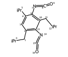 CC(C)Cc1cc(C(C)C)c(N=C=O)c(CC(C)C)c1N=C=O